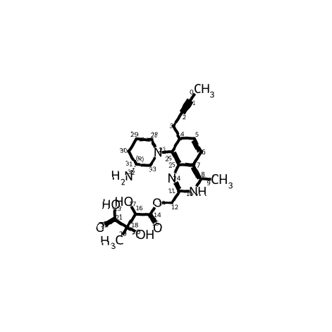 CC#CCC1C=CC2=C(C)NC(COC(=O)C(O)C(C)(O)C(=O)O)=NC2=C1N1CCC[C@@H](N)C1